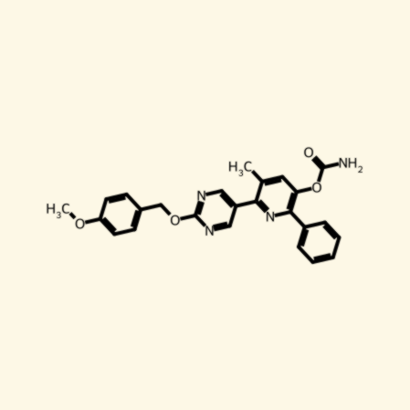 COc1ccc(COc2ncc(-c3nc(-c4ccccc4)c(OC(N)=O)cc3C)cn2)cc1